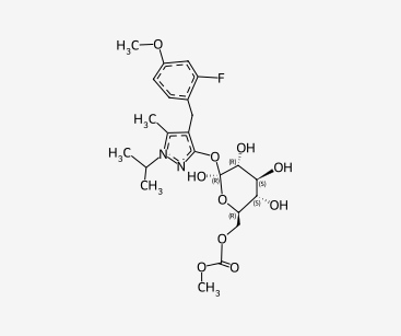 COC(=O)OC[C@H]1O[C@@](O)(Oc2nn(C(C)C)c(C)c2Cc2ccc(OC)cc2F)[C@H](O)[C@@H](O)[C@@H]1O